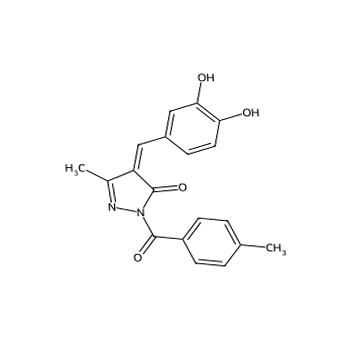 CC1=NN(C(=O)c2ccc(C)cc2)C(=O)C1=Cc1ccc(O)c(O)c1